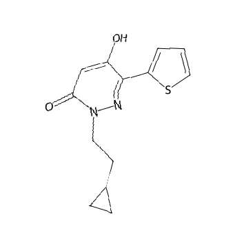 O=c1cc(O)c(-c2cccs2)nn1CCC1CC1